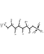 O=S(=O)([O-])CC(F)C(F)C(F)C(F)C(F)C(F)CF.[Li+]